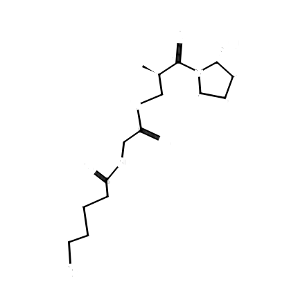 C[C@H](CSC(=O)CNC(=O)CCCCN=O)C(=O)N1CCC[C@H]1C(=O)O